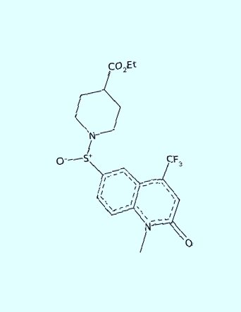 CCOC(=O)C1CCN([S+]([O-])c2ccc3c(c2)c(C(F)(F)F)cc(=O)n3C)CC1